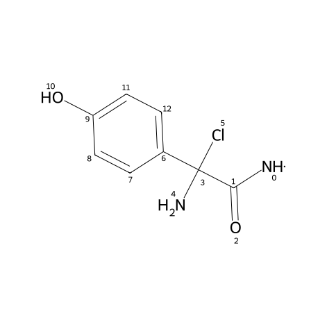 [NH]C(=O)C(N)(Cl)c1ccc(O)cc1